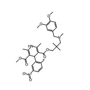 COC(=O)C1=C(C)NC(C)=C(C(=O)OCC(C)(C)CN(C)Cc2ccc(OC)c(OC)c2)C1c1cc([N+](=O)[O-])ccc1F